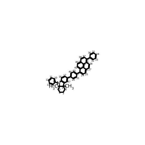 CC12CCCCC1(C)N(c1ccccc1)c1ccc(-c3ccc(-c4ccc5ccc6c(-c7ccccc7)ccc7ccc4c5c76)cc3)cc12